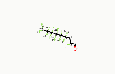 O=CC(F)CC(F)(F)C(F)(F)C(F)(F)C(F)(F)C(F)(F)[C](F)F